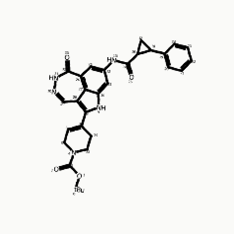 CC(C)(C)OC(=O)N1CC=C(c2[nH]c3cc(NC(=O)C4CC4c4ccccc4)cc4c3c2C=NNC4=O)CC1